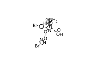 NS(=O)(=O)Nc1nc(CCC(=O)O)nc(OCCOc2ncc(Br)cn2)c1-c1ccc(Br)cc1